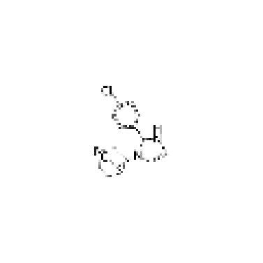 Clc1ccc(C2NC=CN2C2CN3CCC2CC3)cc1